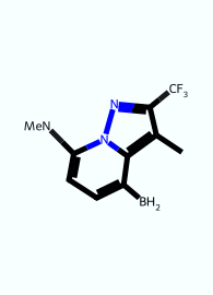 Bc1ccc(NC)n2nc(C(F)(F)F)c(C)c12